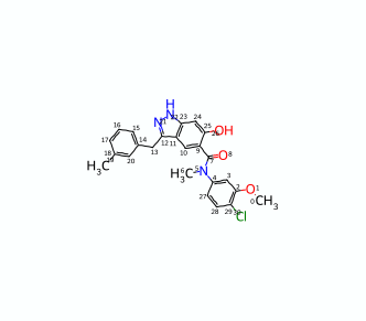 COc1cc(N(C)C(=O)c2cc3c(Cc4cccc(C)c4)n[nH]c3cc2O)ccc1Cl